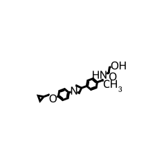 C[C@H](NC(=O)CO)c1ccc(C2CN(c3ccc(OCC4CC4)cc3)C2)cc1